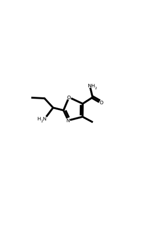 CCC(N)c1nc(C)c(C(N)=O)o1